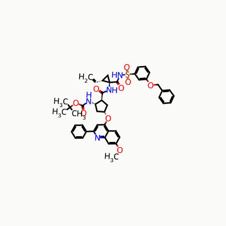 C=C[C@@H]1C[C@]1(NC(=O)[C@H]1C[C@H](Oc2cc(-c3ccccc3)nc3cc(OC)ccc23)C[C@@H]1NC(=O)OC(C)(C)C)C(=O)NS(=O)(=O)c1cccc(OCc2ccccc2)c1